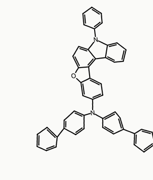 c1ccc(-c2ccc(N(c3ccc(-c4ccccc4)cc3)c3ccc4c(c3)oc3ccc5c(c6ccccc6n5-c5ccccc5)c34)cc2)cc1